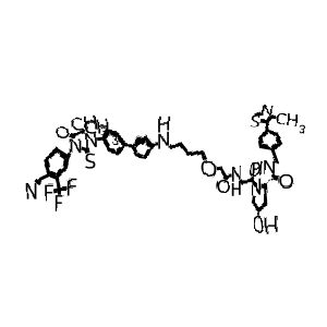 Cc1ncsc1-c1ccc(CNC(=O)[C@@H]2C[C@@H](O)CN2C(=O)CNC(=O)COCCCCNc2ccc(-c3ccc(N4C(=S)N(c5ccc(C#N)c(C(F)(F)F)c5)C(=O)C4(C)C)cc3)cc2)cc1